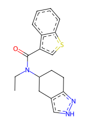 CCN(C(=O)c1csc2ccccc12)C1CCc2n[nH]cc2C1